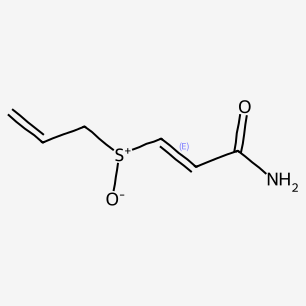 C=CC[S+]([O-])/C=C/C(N)=O